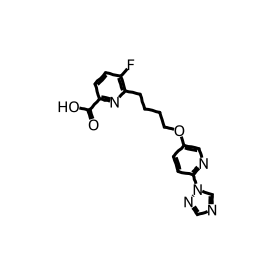 O=C(O)c1ccc(F)c(CCCCOc2ccc(-n3cncn3)nc2)n1